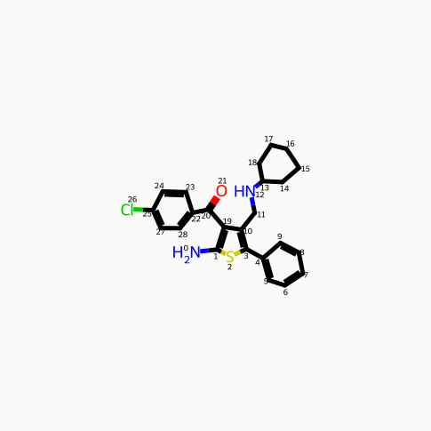 Nc1sc(-c2ccccc2)c(CNC2CCCCC2)c1C(=O)c1ccc(Cl)cc1